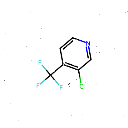 FC(F)(F)c1ccncc1Cl